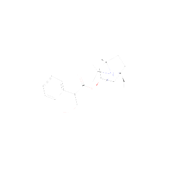 CC(C)[N+]1(C)[C@@H]2CC[C@H]1C[C@H](OC(=O)C(CO)c1ccccc1)C2